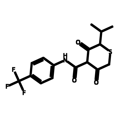 CC(C)C1SCC(=O)C(C(=O)Nc2ccc(C(F)(F)F)cc2)C1=O